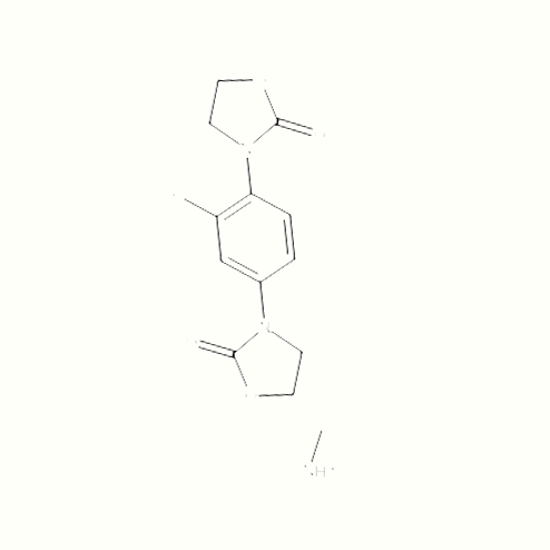 CC(=O)NC[C@H]1CN(c2ccc(N3CCOC3=O)c(C(F)(F)F)c2)C(=O)O1